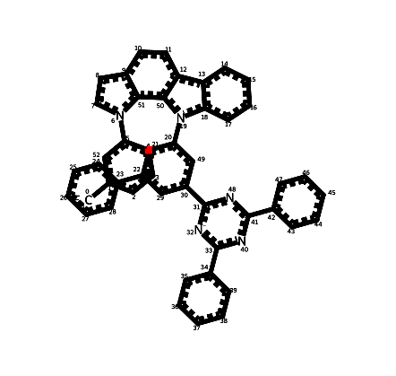 FC(F)(F)c1cccc(-n2ccc3ccc4c5ccccc5n(-c5cc(-c6ccccc6)cc(-c6nc(-c7ccccc7)nc(-c7ccccc7)n6)c5)c4c32)c1